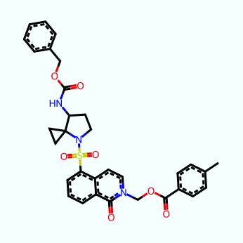 Cc1ccc(C(=O)OCn2ccc3c(S(=O)(=O)N4CCC(NC(=O)OCc5ccccc5)C45CC5)cccc3c2=O)cc1